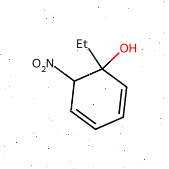 CCC1(O)C=CC=CC1[N+](=O)[O-]